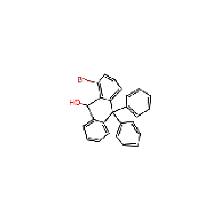 OC1c2ccccc2C(c2ccccc2)(c2ccccc2)c2cccc(Br)c21